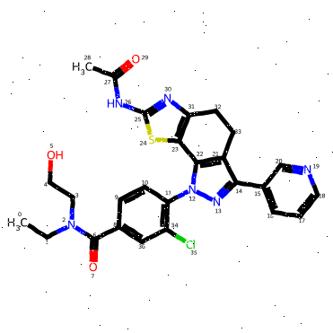 CCN(CCO)C(=O)c1ccc(-n2nc(-c3cccnc3)c3c2-c2sc(NC(C)=O)nc2CC3)c(Cl)c1